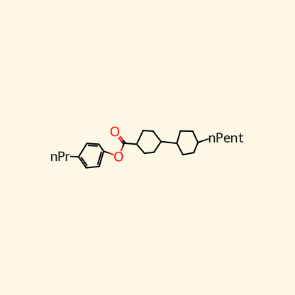 CCCCCC1CCC(C2CCC(C(=O)Oc3ccc(CCC)cc3)CC2)CC1